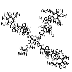 CC(=O)NC1C(OC(C)(C)CCC(C)(C)NC(=O)CCOCC(COCCC(=O)NC(C)(C)CCC(C)(C)OC2CC(CO)C(O)C(O)C2NC(C)=O)(COCCC(=O)NC(C)(C)CCC(C)(C)OC2CC(CO)C(O)C(O)C2NC(C)=O)NC(=O)CCCC(=O)NF)CC(CO)C(O)C1O